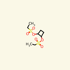 CCS(=O)(=O)OC1CCC1OS(=O)(=O)CC